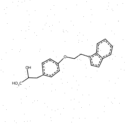 O=C(O)C(O)Cc1ccc(OCCn2ccc3ccccc32)cc1